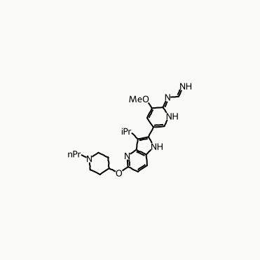 CCCN1CCC(Oc2ccc3[nH]c(-c4c[nH]/c(=N\C=N)c(OC)c4)c(C(C)C)c3n2)CC1